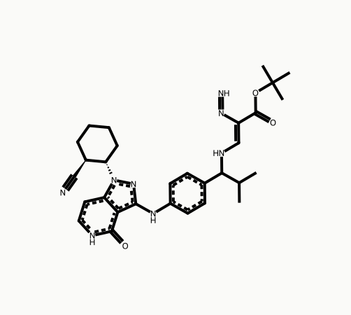 CC(C)C(N/C=C(\N=N)C(=O)OC(C)(C)C)c1ccc(Nc2nn([C@H]3CCCC[C@@H]3C#N)c3cc[nH]c(=O)c23)cc1